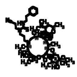 CC[C@H]1OC(=O)[C@H](C)[C@@H](O[C@H]2C[C@@](C)(OC)[C@@H](O)[C@H](C)O2)[C@H](C)[C@@H](O[C@@H]2O[C@H](C)C[C@H](N(C)C)[C@H]2O)[C@](C)(O)C[C@@H](C)CN(CCCN(CCC#N)C(=S)NCCc2ccccc2)[C@H](C)[C@@H](O)[C@]1(C)O